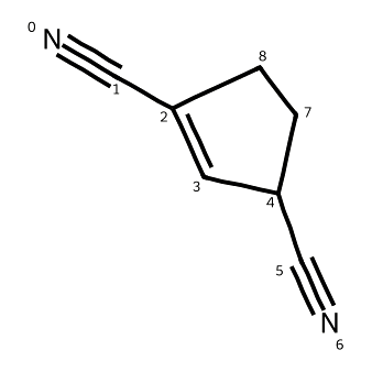 N#CC1=CC(C#N)CC1